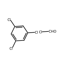 Clc1cc(Cl)cc(Cl)c1.O=CCl